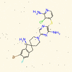 Nc1nc(N2CCC3(CC2)Cc2cc(F)c(Br)cc2[C@H]3N)cnc1Sc1ccnc(N)c1Cl